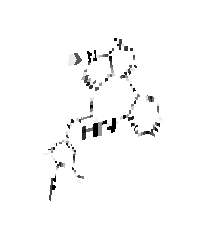 Fc1ccc(CC2Nc3ccccc3-c3ccnc4[nH]cc2c34)cc1F